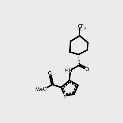 COC(=O)c1sccc1NC(=O)[C@H]1CC[C@H](C(F)(F)F)CC1